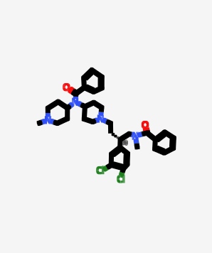 CN1CCC(N(C(=O)c2ccccc2)C2CCN(CC[C@H](CN(C)C(=O)c3ccccc3)c3ccc(Cl)c(Cl)c3)CC2)CC1